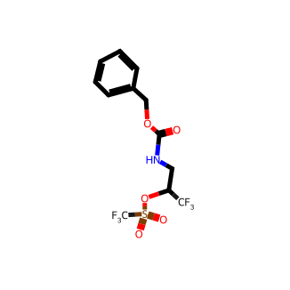 O=C(NCC(OS(=O)(=O)C(F)(F)F)C(F)(F)F)OCc1ccccc1